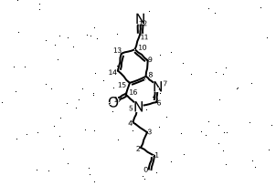 C=CCCCn1cnc2cc(C#N)ccc2c1=O